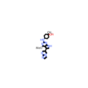 COc1nc(NC2CCC(C)(O)CC2)nc2[nH]cc(-c3cnc4nccn4c3)c12